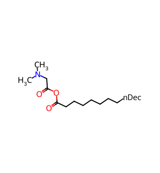 CCCCCCCCCCCCCCCCCC(=O)OC(=O)CN(C)C